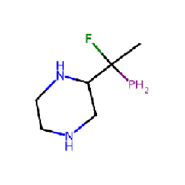 CC(F)(P)C1CNCCN1